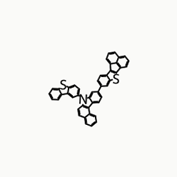 c1cc2c3c(cccc3c1)-c1c-2sc2cc(-c3ccc4c5c6ccccc6ccc5n(-c5ccc6sc7ccccc7c6c5)c4c3)ccc12